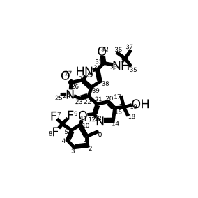 Cc1cccc(C(F)(F)F)c1Oc1ncc(C(C)(C)O)cc1-c1cn(C)c(=O)c2[nH]c(C(=O)NC(C)(C)C)cc12